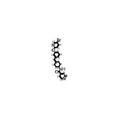 O=C(NC1CCC(=Cc2cccc(Oc3ccc(Br)cn3)c2)CC1)c1ccnnc1